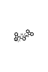 C/C(=N\C1c2ccccc2-c2ccccc21)c1cccc(/C(C)=N/C2c3ccccc3-c3ccccc32)n1